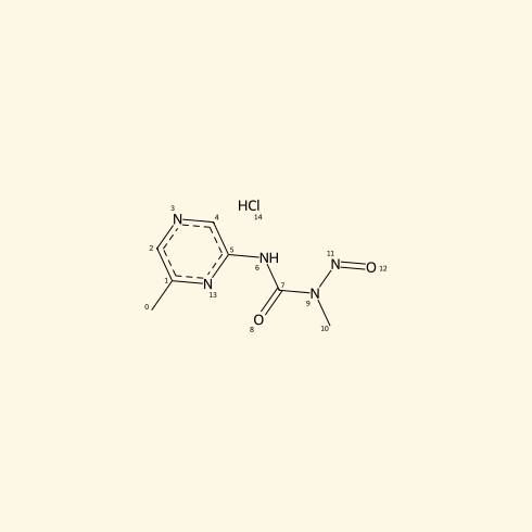 Cc1cncc(NC(=O)N(C)N=O)n1.Cl